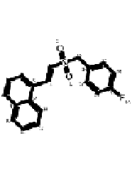 O=S(=O)(C=Cc1cccc2ccccc12)Cc1ccc(F)cc1